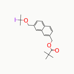 CC(C)(I)OCc1ccc2ccc(COC(=O)C(C)(C)C)cc2c1